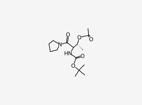 CC(=O)O[C@H](C)C(NC(=O)OC(C)(C)C)C(=O)N1CCCC1